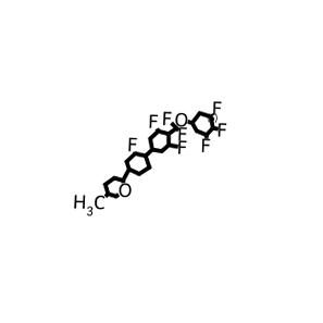 CC1CCC(C2CCC(C3CC(F)C(C(F)(F)OC4CC(F)C(F)[C@@H](F)C4)C(F)C3)C(F)C2)OC1